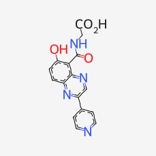 O=C(O)CNC(=O)c1c(O)ccc2nc(-c3ccncc3)cnc12